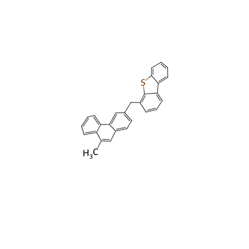 Cc1cc2ccc(Cc3cccc4c3sc3ccccc34)cc2c2ccccc12